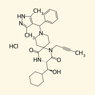 CC#CCN1C(=O)[C@H]([C@@H](O)C2CCCCC2)NC(=O)C12CCN(C(c1ccccc1)c1c(C)n[nH]c1C)CC2.Cl